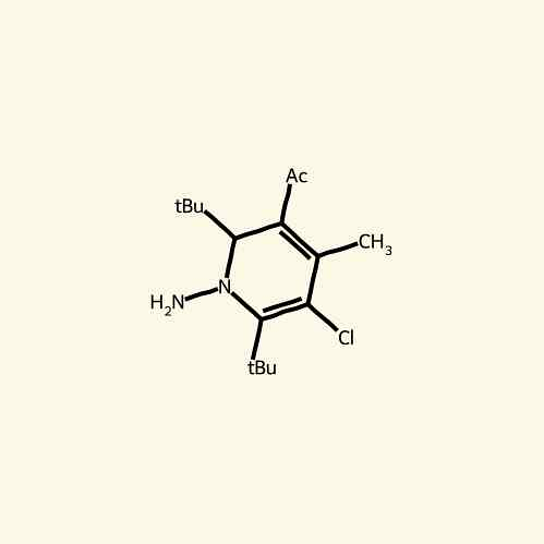 CC(=O)C1=C(C)C(Cl)=C(C(C)(C)C)N(N)C1C(C)(C)C